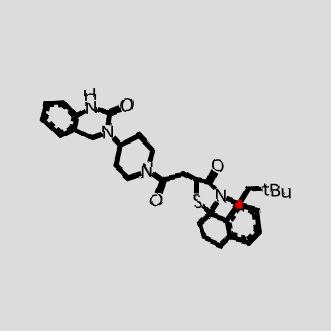 CC(C)(C)CCN1C(=O)C(CC(=O)N2CCC(N3Cc4ccccc4NC3=O)CC2)SC12CCCc1ccccc12